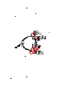 C=CC=C[C@H](C)[C@@H]1C[C@H](C)/C=C/[C@H](C)[C@@H](C)[C@@H](O[Si](C)(C)C(C)(C)C)C[C@@H](O[Si](C)(C)C(C)(C)C)CC[C@@H](C)[C@H](O[Si](C)(C)C(C)(C)C)[C@H](O[Si](C)(C)C(C)(C)C)OC(=O)/C=C/C=C\[C@H]1C